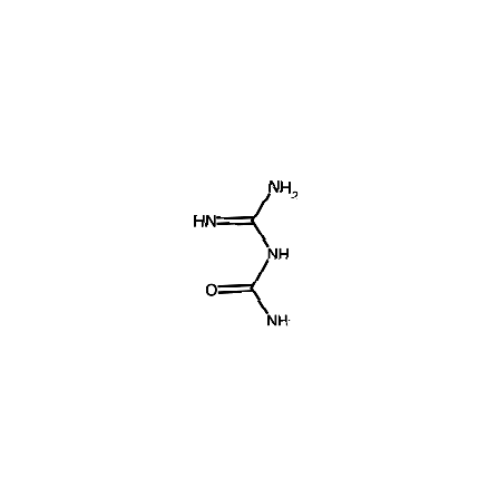 [NH]C(=O)NC(=N)N